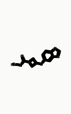 CCCCOC(=O)N1CC(Oc2ccc3ocnc3c2)C1